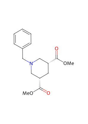 COC(=O)[C@@H]1C[C@H](C(=O)OC)CN(Cc2ccccc2)C1